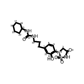 O=C1CN(c2ccc(CCCNC(=O)NC3CCCCC3)cc2O)S(=O)(=O)N1